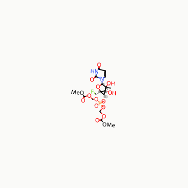 COC(=O)OCOP(=O)(OCOC(=O)OC)O[C@H]1[C@]2(O)[C@@](C)(O)[C@H](n3ccc(=O)[nH]c3=O)O[C@]12CF